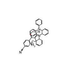 CC1(C2=CCCC=C2c2ccc(C#N)cn2)C=CC=CC1N1c2ccccc2[SiH](c2ccccc2)C2C=CC=CC21